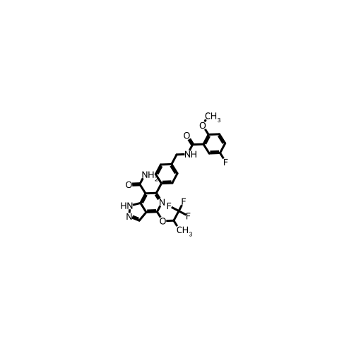 COc1ccc(F)cc1C(=O)NCc1ccc(-c2nc(OC(C)C(F)(F)F)c3cn[nH]c3c2C(N)=O)cc1